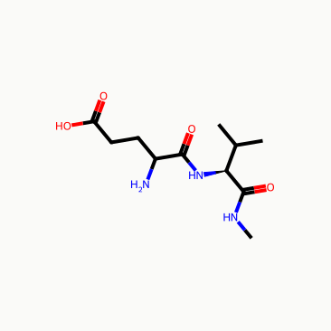 CNC(=O)[C@@H](NC(=O)C(N)CCC(=O)O)C(C)C